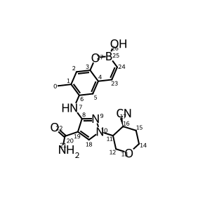 Cc1cc2c(cc1Nc1nn(C3COCC[C@@H]3C#N)cc1C(N)=O)C=CB(O)O2